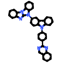 c1ccc2nc(-c3ccc(-n4c5ccccc5c5cc(-n6c7ccccc7n7c8ccccc8nc67)ccc54)cc3)ncc2c1